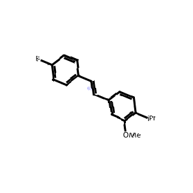 COc1cc(/C=C/c2ccc(F)cc2)ccc1C(C)C